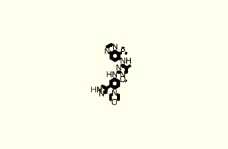 COc1cc(N2CCOCC2)c(-c2cn[nH]c2)cc1Nc1ncc(C)c(Nc2ccc3nccnc3c2P(C)C)n1